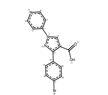 O=C(O)c1cn(-c2ccncc2)nc1-c1ccc(Br)cc1